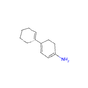 NC1=CC=C(C2=CCCCC2)CC1